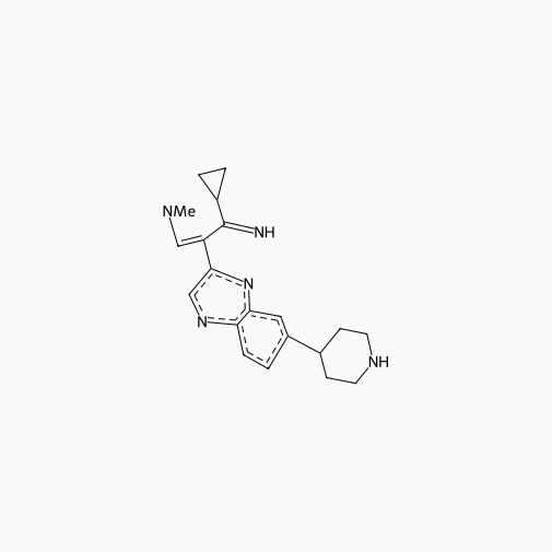 CN/C=C(\C(=N)C1CC1)c1cnc2ccc(C3CCNCC3)cc2n1